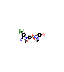 COc1ccc(CN(c2nccs2)S(=O)(=O)c2ccc3c(c2)OC(C)CN3c2ccc(C(F)(F)F)cc2C#N)cc1